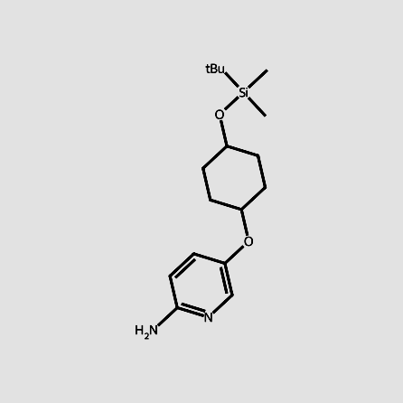 CC(C)(C)[Si](C)(C)OC1CCC(Oc2ccc(N)nc2)CC1